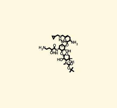 CN(C(=O)OC(C)(C)C)[C@@H]1[C@@H](O)[C@@H](O[C@@H]2[C@@H](O)[C@H](O[C@H]3OC(CNCC4CC4)=CC[C@H]3N)[C@@H](N)C[C@H]2NC(=O)[C@@H](O)CCN)OC[C@]1(C)O